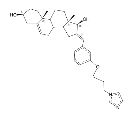 C[C@]12CC[C@H](O)CC1=CCC1C2CC[C@@]2(C)C1C/C(=C\c1cccc(OCCCn3ccnc3)c1)[C@@H]2O